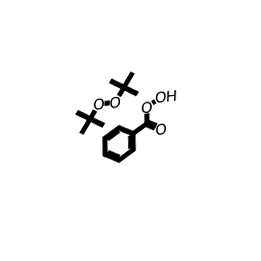 CC(C)(C)OOC(C)(C)C.O=C(OO)c1ccccc1